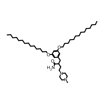 CCCCCCCCCCCCCCOc1cc(CC(CCN2CCN(C)CC2)C(N)=O)cc(OCCCCCCCCCCCCCC)c1